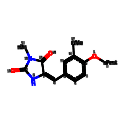 CCCCCOc1ccc(C=C2NC(=O)N(CCCC)C2=O)cc1OC